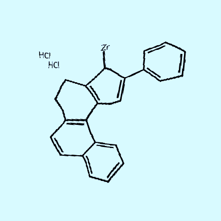 Cl.Cl.[Zr][CH]1C(c2ccccc2)=CC2=C1CCc1ccc3ccccc3c12